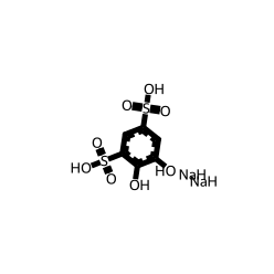 O=S(=O)(O)c1cc(O)c(O)c(S(=O)(=O)O)c1.[NaH].[NaH]